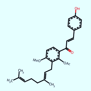 COc1ccc(C(=O)C=Cc2ccc(O)cc2)c(OC(C)=O)c1C/C=C(\C)CCC=C(C)C